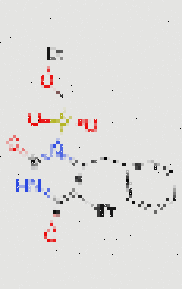 CCOCS(=O)(=O)n1c(Cc2ccccc2)c(C(C)C)c(=O)[nH]c1=O